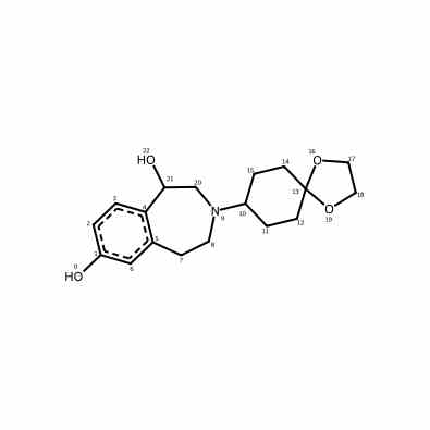 Oc1ccc2c(c1)CCN(C1CCC3(CC1)OCCO3)CC2O